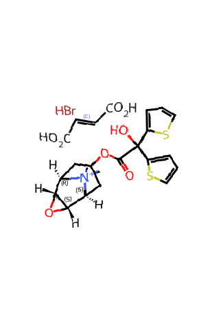 Br.C[N+]1(C)[C@@H]2CC(OC(=O)C(O)(c3cccs3)c3cccs3)C[C@H]1[C@@H]1O[C@@H]12.O=C(O)/C=C/C(=O)O